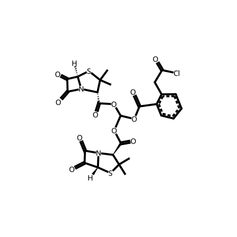 CC1(C)S[C@@H]2C(=O)C(=O)N2[C@H]1C(=O)OC(OC(=O)c1ccccc1CC(=O)Cl)OC(=O)[C@@H]1N2C(=O)C(=O)[C@H]2SC1(C)C